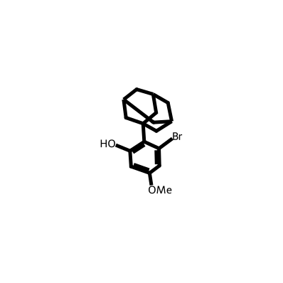 COc1cc(O)c(C23CC4CC(CC(C4)C2)C3)c(Br)c1